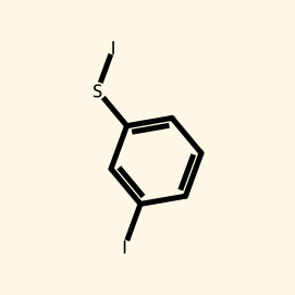 ISc1cccc(I)c1